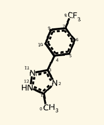 Cc1nc(-c2ccc(C(F)(F)F)cc2)n[nH]1